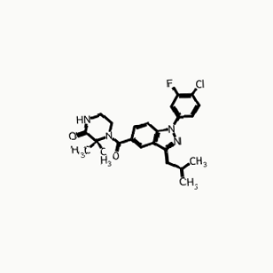 CC(C)Cc1nn(-c2ccc(Cl)c(F)c2)c2ccc(C(=O)N3CCNC(=O)C3(C)C)cc12